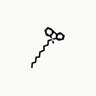 CCCCCCCCCC[P]1(C)c2ccccc2-c2ccccc21